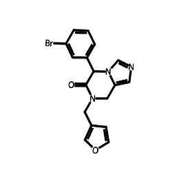 O=C1C(c2cccc(Br)c2)n2cncc2CN1Cc1ccoc1